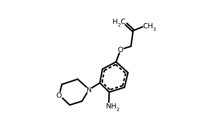 C=C(C)COc1ccc(N)c(N2CCOCC2)c1